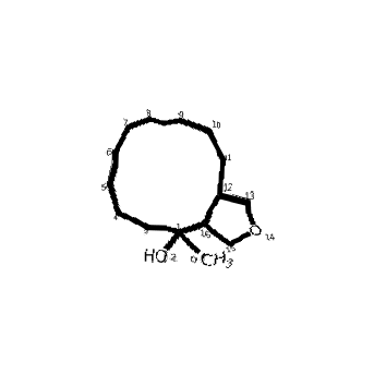 CC1(O)CCCCCCCCCC2COCC21